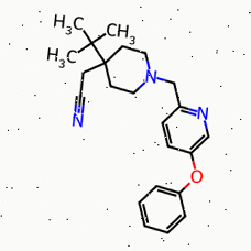 CC(C)(C)C1(CC#N)CCN(Cc2ccc(Oc3ccccc3)cn2)CC1